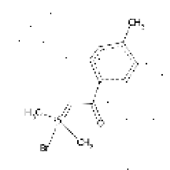 Cc1ccc(C(=O)C=[S](C)(C)Br)cc1